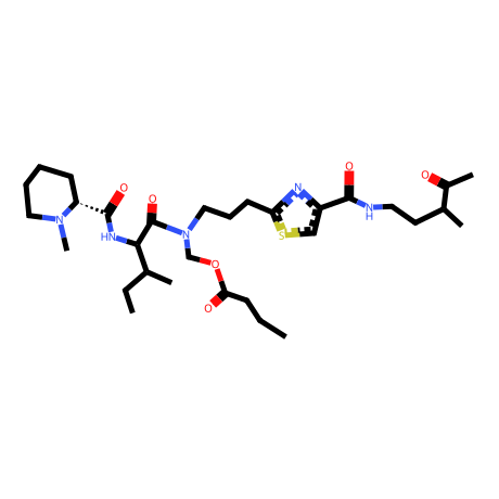 CCCC(=O)OCN(CCCc1nc(C(=O)NCCC(C)C(C)=O)cs1)C(=O)C(NC(=O)[C@H]1CCCCN1C)C(C)CC